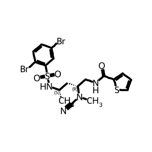 C[C@@H](C[C@H](CNC(=O)c1cccs1)N(C)C#N)NS(=O)(=O)c1cc(Br)ccc1Br